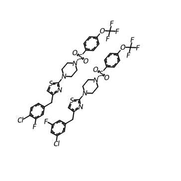 O=S(=O)(c1ccc(OC(F)(F)F)cc1)N1CCN(c2nc(Cc3cc(F)cc(Cl)c3)cs2)CC1.O=S(=O)(c1ccc(OC(F)(F)F)cc1)N1CCN(c2nc(Cc3ccc(Cl)c(F)c3)cs2)CC1